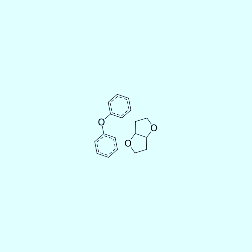 C1CC2OCCC2O1.c1ccc(Oc2ccccc2)cc1